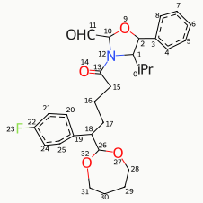 CC(C)C1C(c2ccccc2)OC(C=O)N1C(=O)CCCC(c1ccc(F)cc1)C1OCCCCO1